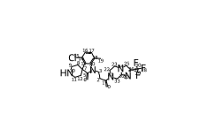 C=C(CCN1C(=C)C2(CCNCC2)c2c(Cl)ccc(C)c21)N1CCN2CC(C(F)(F)F)=NC2C1